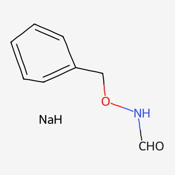 O=CNOCc1ccccc1.[NaH]